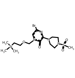 C[Si](C)(C)CCOCn1cc(Br)nc(N2CCN(S(C)(=O)=O)CC2)c1=O